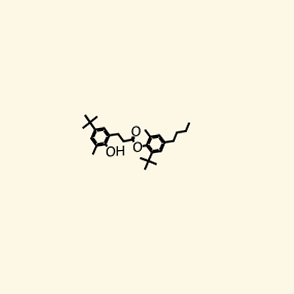 CCCCc1cc(C)c(OC(=O)CCc2cc(C(C)(C)C)cc(C)c2O)c(C(C)(C)C)c1